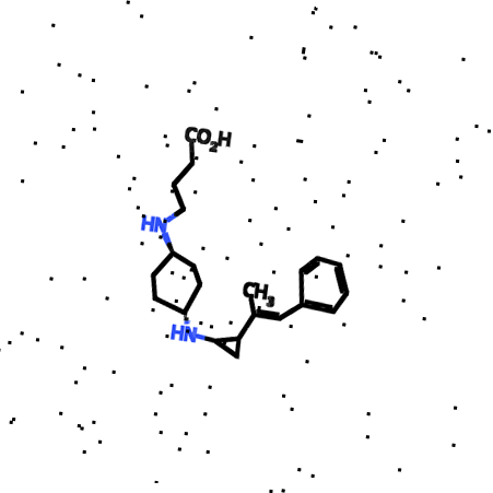 C/C(=C\c1ccccc1)C1CC1N[C@H]1CC[C@H](NCCCC(=O)O)CC1